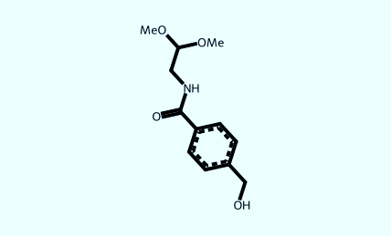 COC(CNC(=O)c1ccc(CO)cc1)OC